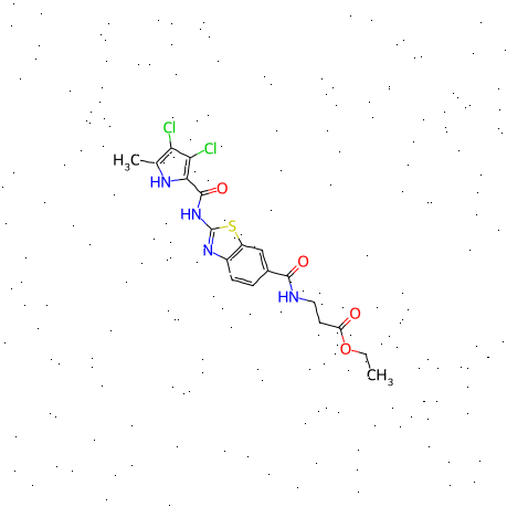 CCOC(=O)CCNC(=O)c1ccc2nc(NC(=O)c3[nH]c(C)c(Cl)c3Cl)sc2c1